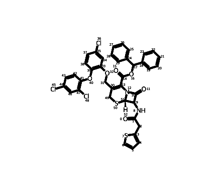 O=C(Cc1cccs1)NC1C(=O)N2C(C(=O)OC(c3ccccc3)c3ccccc3)=C(COc3cc(Cl)ccc3Oc3ccc(Cl)cc3Cl)CS[C@@H]12